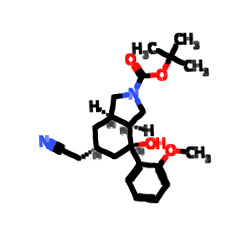 COc1ccccc1[C@]1(O)C[C@H](CC#N)C[C@H]2CN(C(=O)OC(C)(C)C)C[C@H]21